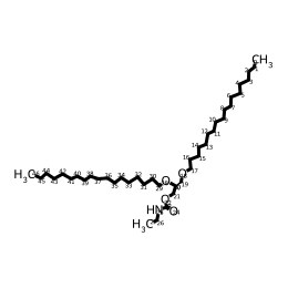 CCCCCCCCCCCCCCCCCCOC[C@@H](COC(=O)NCC)OCCCCCCCCCCCCCCCCCC